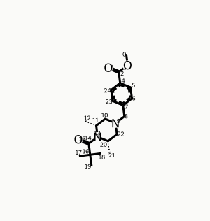 COC(=O)c1ccc(CN2C[C@@H](C)N(C(=O)C(C)(C)C)[C@@H](C)C2)cc1